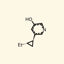 CC[C@H]1C[C@@H]1c1cncc(O)c1